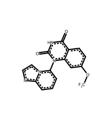 O=c1[nH]c(=O)n(-c2cccc3nccn23)c2cc(OC(F)(F)F)ccc12